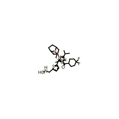 Cc1nnc(C(C)C)n1C1CC2CCC(C1)N2CC[C@H](NC(=O)C1CCC(F)(F)CC1)c1ccc(CNO)s1